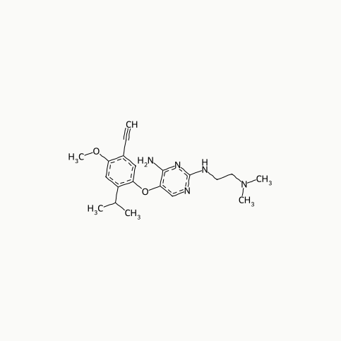 C#Cc1cc(Oc2cnc(NCCN(C)C)nc2N)c(C(C)C)cc1OC